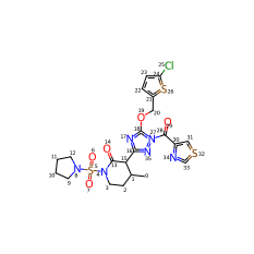 CC1CCN(S(=O)(=O)N2CCCC2)C(=O)C1c1nc(OCc2ccc(Cl)s2)n(C(=O)c2cscn2)n1